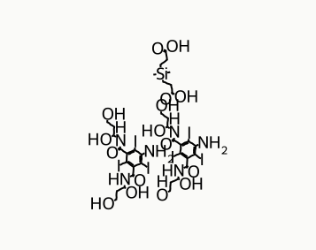 C[Si](C)(CCC(=O)O)CCC(=O)O.Nc1c(I)c(C(=O)NC(O)CCO)c(I)c(C(=O)NC(O)CCO)c1I.Nc1c(I)c(C(=O)NC(O)CCO)c(I)c(C(=O)NC(O)CCO)c1I